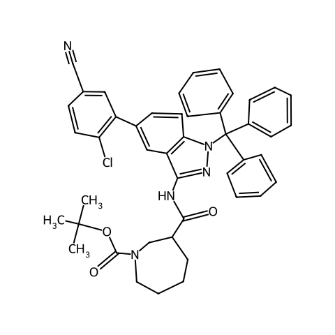 CC(C)(C)OC(=O)N1CCCCC(C(=O)Nc2nn(C(c3ccccc3)(c3ccccc3)c3ccccc3)c3ccc(-c4cc(C#N)ccc4Cl)cc23)C1